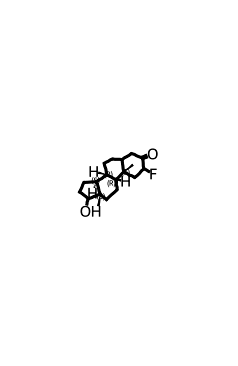 C[C@]12CC(F)C(=O)CC1CC[C@@H]1[C@H]2CC[C@]2(C)C(O)CC[C@@H]12